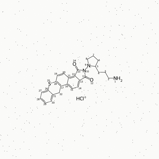 Cl.NCCCC1CCCN1N1C(=O)c2ccc3c4c(ccc3c2C1=O)Sc1ccccc1C4